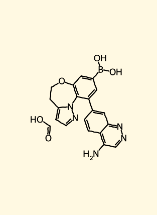 Nc1cnnc2cc(-c3cc(B(O)O)cc4c3-n3nccc3CCO4)ccc12.O=CO